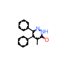 Cc1c(-c2ccccc2)c(-c2ccccc2)n[nH]c1=O